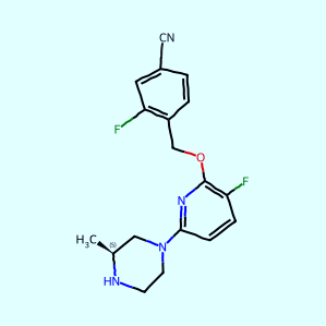 C[C@H]1CN(c2ccc(F)c(OCc3ccc(C#N)cc3F)n2)CCN1